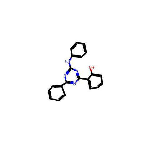 Oc1ccccc1-c1nc(Nc2ccccc2)nc(-c2ccccc2)n1